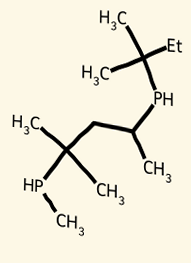 CCC(C)(C)PC(C)CC(C)(C)PC